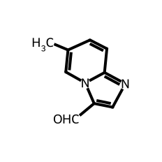 Cc1ccc2ncc(C=O)n2c1